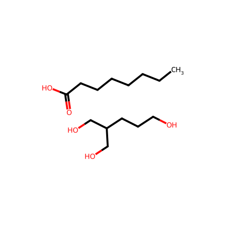 CCCCCCCC(=O)O.OCCCC(CO)CO